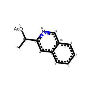 CC(=O)OC(C)c1cc2ccccc2cn1